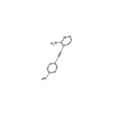 CCCc1ccc(C#Cc2cccnc2N)cc1